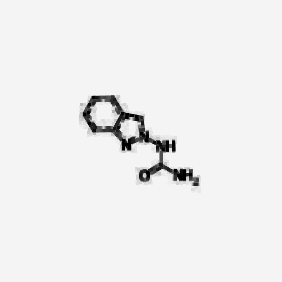 NC(=O)Nn1cc2ccccc2n1